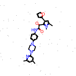 Cc1cc(C)nc(N2CCN(c3ccc(NC(=O)C(=O)c4c(-c5ccco5)cc(C)n4C)cc3)CC2)c1